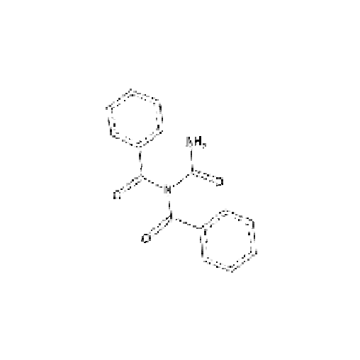 NC(=O)N(C(=O)c1ccccc1)C(=O)c1ccccc1